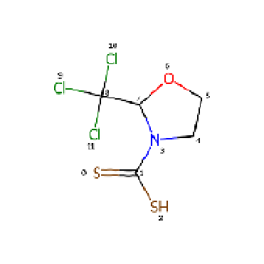 S=C(S)N1CCOC1C(Cl)(Cl)Cl